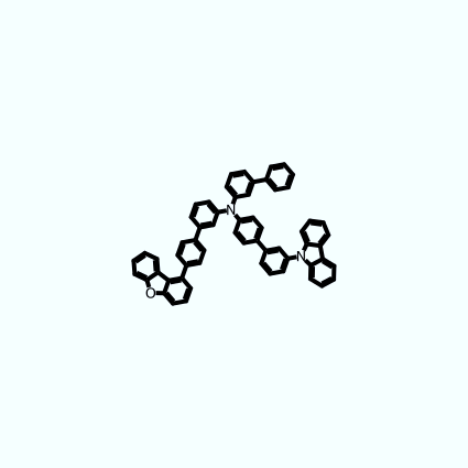 c1ccc(-c2cccc(N(c3ccc(-c4cccc(-n5c6ccccc6c6ccccc65)c4)cc3)c3cccc(-c4ccc(-c5cccc6oc7ccccc7c56)cc4)c3)c2)cc1